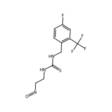 O=NCCNC(=S)NCc1ccc(F)cc1C(F)(F)F